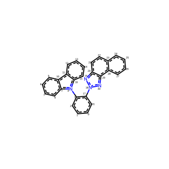 c1ccc(-n2c3ccccc3c3ccccc32)c(-n2nc3ccc4ccccc4c3n2)c1